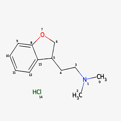 CN(C)CCC1COc2ccccc21.Cl